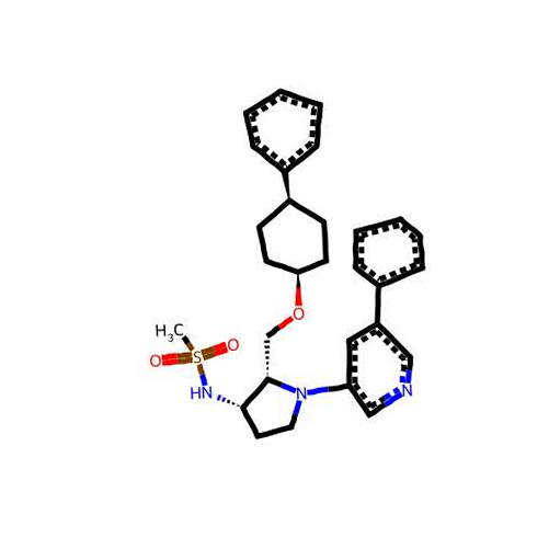 CS(=O)(=O)N[C@H]1CCN(c2cncc(-c3ccccc3)c2)[C@H]1CO[C@H]1CC[C@@H](c2ccccc2)CC1